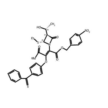 CCS[C@@H]1[C@@H]([C@@H](C)O)C(=O)N1C(C(=O)OCc1ccc([N+](=O)[O-])cc1)=C(Oc1ccc(C(=S)c2ccccc2)cc1)C(=O)C(C)(C)C